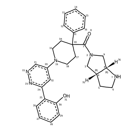 O=C(N1C[C@H]2CCN[C@H]2C1)C1(c2ccccc2)CCN(c2cnnc(-c3ccccc3O)c2)CC1